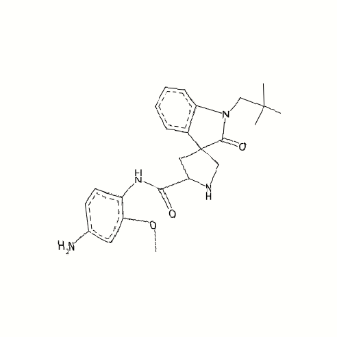 COc1cc(N)ccc1NC(=O)C1CC2(CN1)C(=O)N(CC(C)(C)C)c1ccccc12